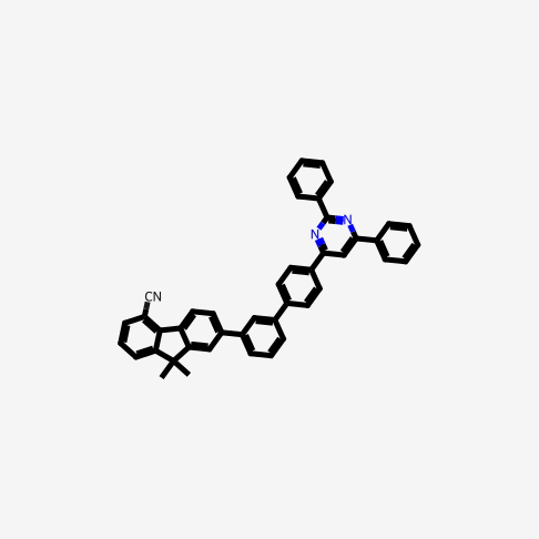 CC1(C)c2cc(-c3cccc(-c4ccc(-c5cc(-c6ccccc6)nc(-c6ccccc6)n5)cc4)c3)ccc2-c2c(C#N)cccc21